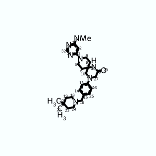 CNc1cc(N2CCC3(CC2)CN(c2ccc(CN4CCC(C)(C)CC4)cc2)CC(=O)N3)ncn1